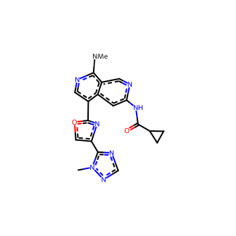 CNc1ncc(-c2nc(-c3ncnn3C)co2)c2cc(NC(=O)C3CC3)ncc12